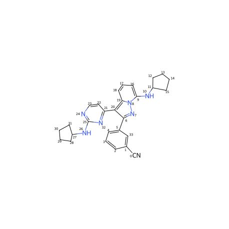 N#Cc1cccc(-c2nn3c(NC4CCCC4)cccc3c2-c2ccnc(NC3CCCC3)n2)c1